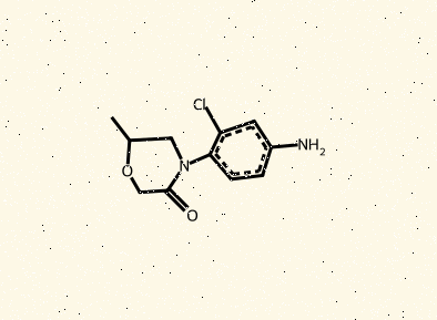 CC1CN(c2ccc(N)cc2Cl)C(=O)CO1